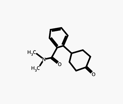 CN(C)C(=O)c1ccccc1C1CCC(=O)CC1